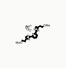 COCCC1=NC(c2cccc(C3=NCC(CCOC)=N3)n2)=NC1.[Cl-].[Cl-].[Cl-].[Nd+3]